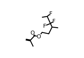 C=C(C)C(=O)OCCC(C)C(F)(F)C(C)F